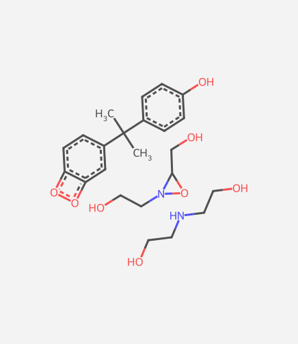 CC(C)(c1ccc(O)cc1)c1ccc2ooc2c1.OCCN1OC1CO.OCCNCCO